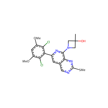 COc1cc(OC)c(Cl)c(-c2cc3cnc(SC)nc3c(N3CC(C)(O)C3)n2)c1Cl